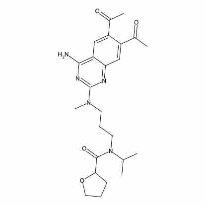 CC(=O)c1cc2nc(N(C)CCCN(C(=O)C3CCCO3)C(C)C)nc(N)c2cc1C(C)=O